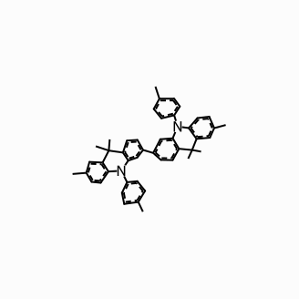 Cc1ccc(N2c3cc(-c4ccc5c(c4)N(c4ccc(C)cc4)c4ccc(C)cc4C5(C)C)ccc3C(C)(C)c3cc(C)ccc32)cc1